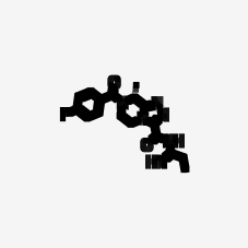 CCC(=N)NC(=O)c1nnc2n1CCN(C(=O)c1ccc(F)cc1)[C@@H]2C